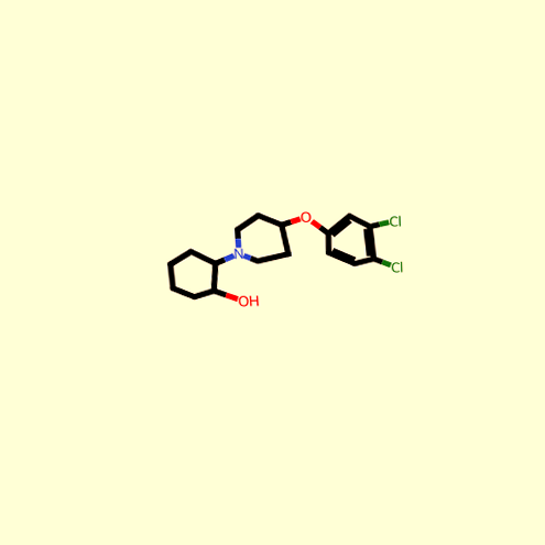 O[C]1CCCCC1N1CCC(Oc2ccc(Cl)c(Cl)c2)CC1